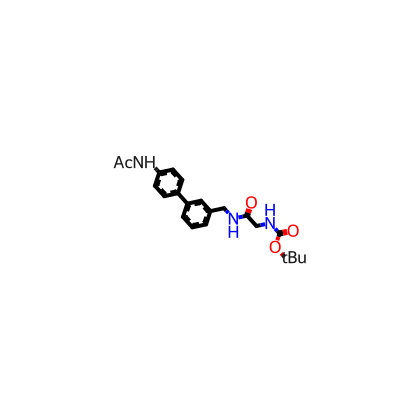 CC(=O)Nc1ccc(-c2cccc(CNC(=O)CNC(=O)OC(C)(C)C)c2)cc1